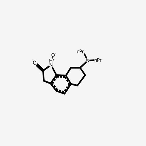 CCCN(CCC)C1CCc2ccc3c(c2C1)[NH+]([O-])C(=O)C3